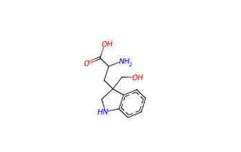 NC(CC1(CO)CNc2ccccc21)C(=O)O